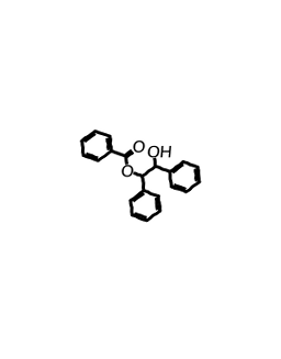 O=C(OC(c1ccccc1)C(O)c1ccccc1)c1ccccc1